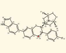 CN1[C@@H]2CC[C@H]1C[C@H](N(Cc1cc(-c3ccc4[nH]ncc4c3)ccc1F)C(=O)c1ccc(F)cc1)C2